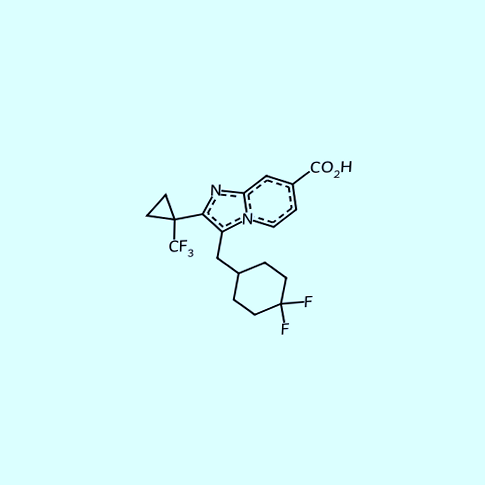 O=C(O)c1ccn2c(CC3CCC(F)(F)CC3)c(C3(C(F)(F)F)CC3)nc2c1